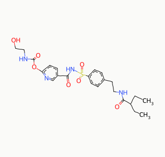 CCC(CC)C(=O)NCCc1ccc(S(=O)(=O)NC(=O)c2ccc(OC(=O)NCCO)nc2)cc1